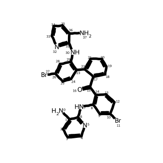 Nc1cccnc1Nc1cc(Br)ccc1C(=O)c1ccccc1-c1ccc(Br)cc1Nc1ncccc1N